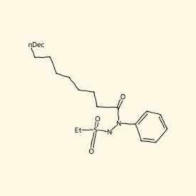 CCCCCCCCCCCCCCCCCC(=O)N([N]S(=O)(=O)CC)c1ccccc1